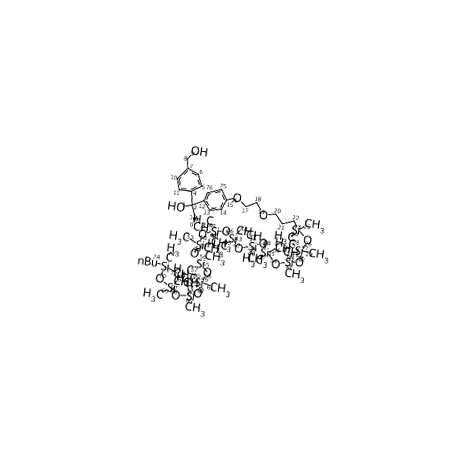 C#CC(O)(c1ccc(CO)cc1)c1ccc(OCCOCCC[Si](C)(C)O[Si](C)(C)O[Si](C)(C)O[Si](C)(C)O[Si](C)(C)O[Si](C)(C)O[Si](C)(C)O[Si](C)(C)O[Si](C)(C)O[Si](C)(C)O[Si](C)(C)O[Si](C)(C)O[Si](C)(C)CCCC)cc1